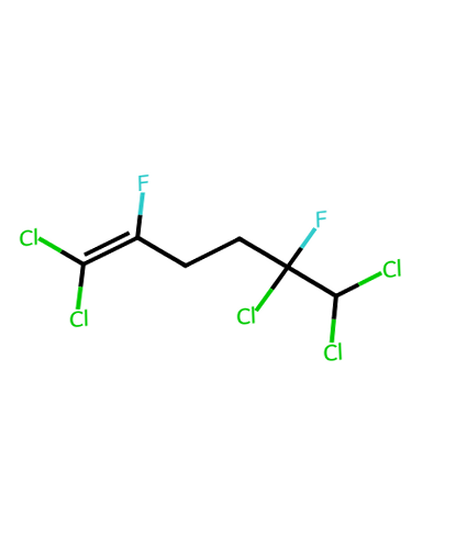 FC(CCC(F)(Cl)C(Cl)Cl)=C(Cl)Cl